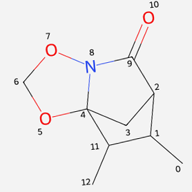 CC1C2CC3(OCON3C2=O)C1C